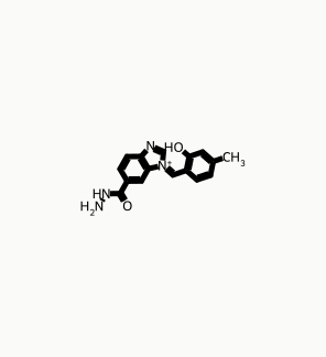 Cc1ccc(C=[N+]2C=Nc3ccc(C(=O)NN)cc32)c(O)c1